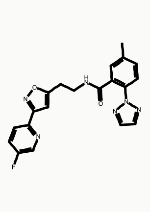 Cc1ccc(-n2nccn2)c(C(=O)NCCc2cc(-c3ccc(F)cn3)no2)c1